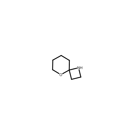 C1CCC2(CCN2)OC1